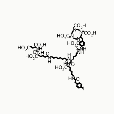 O=C(O)CC[C@H](NC(=O)N[C@@H](CCCC(=O)NCCCCCCCC(=O)N[C@@H](CCCCNC(=S)Nc1ccc(CC2CN(CC(=O)O)CCN(CC(=O)O)CCN(CC(=O)O)CCN2CC(=O)O)cc1)C(=O)N[C@@H](CCCCCNC(=O)Cc1ccc(I)cc1)C(=O)O)C(=O)O)C(=O)O